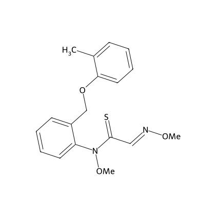 CON=CC(=S)N(OC)c1ccccc1COc1ccccc1C